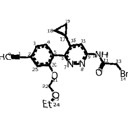 C#Cc1ccc(-c2nnc(NC(=O)CBr)cc2C2CC2)c(OCOCC)c1